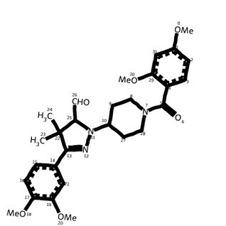 COc1ccc(C(=O)N2CCC(N3N=C(c4ccc(OC)c(OC)c4)C(C)(C)C3C=O)CC2)c(OC)c1